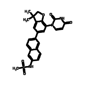 CC1(C)COc2c(-n3ccc(=O)[nH]c3=O)cc(-c3ccc4cc(NS(C)(=O)=O)ccc4c3)cc21